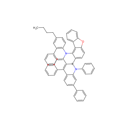 CCCCc1ccc(N2c3cc4ccccc4c4c3B(c3ccc5oc6ccccc6c5c32)N(c2ccccc2)c2cc(-c3ccccc3)ccc2-4)c(-c2ccccc2)c1